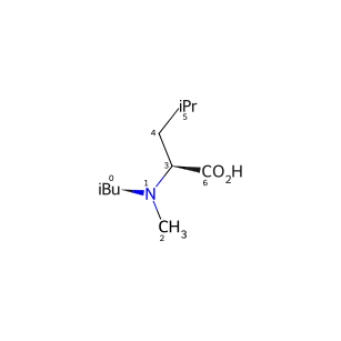 CC[C@H](C)N(C)[C@@H](CC(C)C)C(=O)O